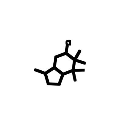 CC1CCC2C1CC(Cl)C(C)(C)C2(C)C